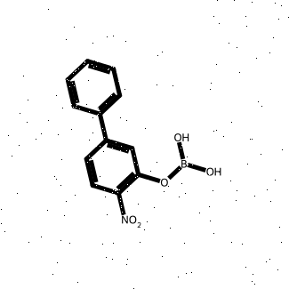 O=[N+]([O-])c1ccc(-c2ccccc2)cc1OB(O)O